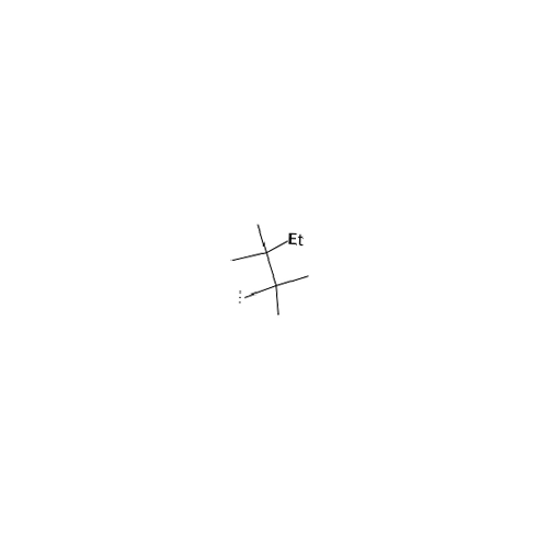 [C]C(C)(C)C(C)(C)CC